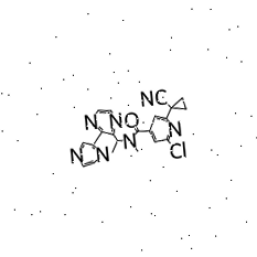 CC(c1nccnc1-c1cnccn1)N(C)C(=O)c1cc(Cl)nc(C2(C#N)CC2)c1